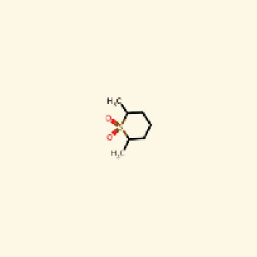 CC1CCCC(C)S1(=O)=O